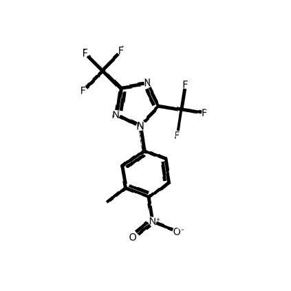 Cc1cc(-n2nc(C(F)(F)F)nc2C(F)(F)F)ccc1[N+](=O)[O-]